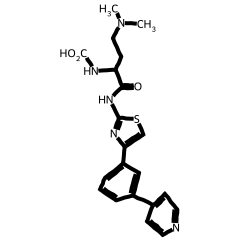 CN(C)CCC(NC(=O)O)C(=O)Nc1nc(-c2cccc(-c3ccncc3)c2)cs1